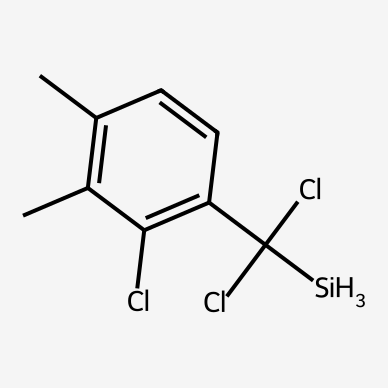 Cc1ccc(C([SiH3])(Cl)Cl)c(Cl)c1C